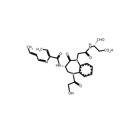 CC=C/C=N\C(=C/C)C(=O)N[C@H]1CN(C(=O)CO)c2ccccc2N(CC(=O)N[C@H](C=O)CC(=O)O)C1=O